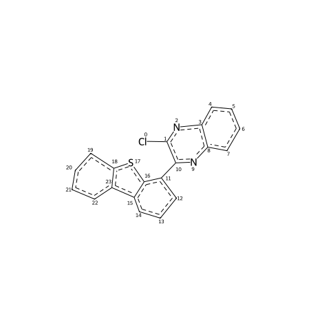 Clc1nc2ccccc2nc1-c1cccc2c1sc1ccccc12